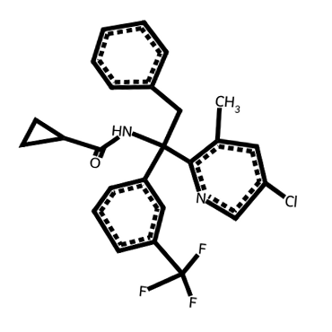 Cc1cc(Cl)cnc1C(Cc1ccccc1)(NC(=O)C1CC1)c1cccc(C(F)(F)F)c1